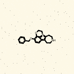 c1ccc(COc2ccc3c4c(n5c3c2OCC5)CCNCC4)cc1